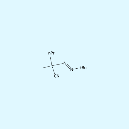 [CH2]CCC(C)(C#N)/N=N/C(C)(C)C